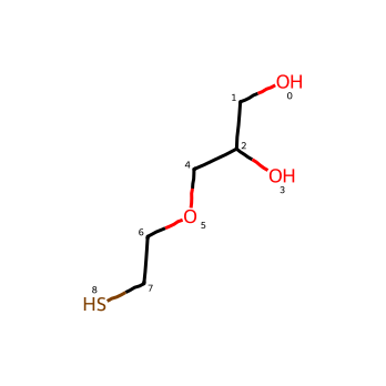 OCC(O)COCCS